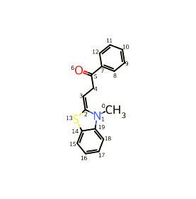 CN1C(=CCC(=O)c2ccccc2)Sc2ccccc21